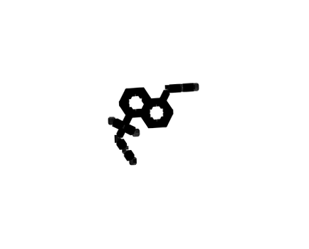 O=C=Nc1cccc2c(S(=O)(=O)N=C=O)cccc12